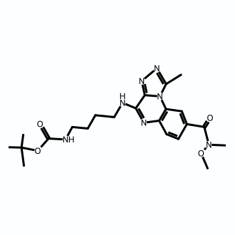 CON(C)C(=O)c1ccc2nc(NCCCCNC(=O)OC(C)(C)C)c3nnc(C)n3c2c1